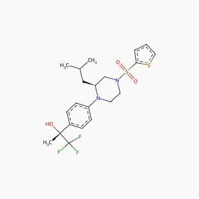 CC(C)C[C@H]1CN(S(=O)(=O)c2cccs2)CCN1c1ccc([C@@](C)(O)C(F)(F)F)cc1